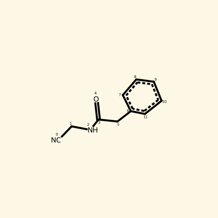 N#CCNC(=O)Cc1ccccc1